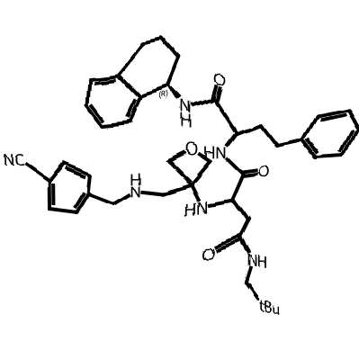 CC(C)(C)CNC(=O)CC(NC1(CNCc2ccc(C#N)cc2)COC1)C(=O)NC(CCc1ccccc1)C(=O)N[C@@H]1CCCc2ccccc21